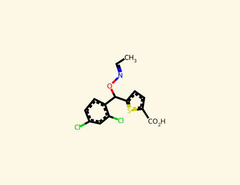 C/C=N/OC(c1ccc(C(=O)O)s1)c1ccc(Cl)cc1Cl